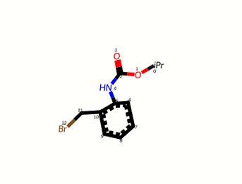 CC(C)OC(=O)Nc1ccccc1CBr